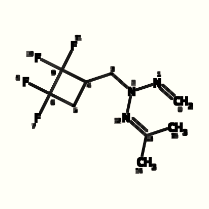 C=NN(CC1CC(F)(F)C1(F)F)N=C(C)C